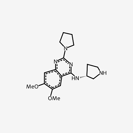 COc1cc2nc(N3CCCC3)nc(N[C@@H]3CCNC3)c2cc1OC